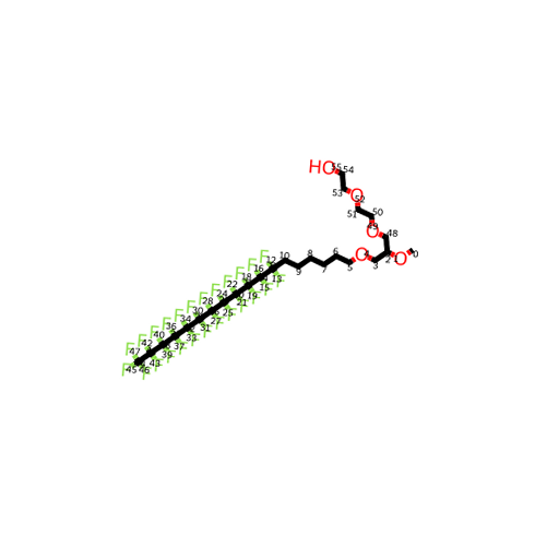 COC(COCCCCCCC(F)(F)C(F)(F)C(F)(F)C(F)(F)C(F)(F)C(F)(F)C(F)(F)C(F)(F)C(F)(F)C(F)(F)C(F)(F)C(F)(F)F)COCCOCCO